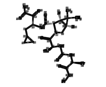 CC(C)NC(=O)[C@@H](NC(=O)N[C@H](C(=O)N1C[C@H]2[C@@H]([C@H]1C(=O)NC(CC1CC1)C(=O)C(N)=O)C2(C)C)C(C)(C)C)C(C)C